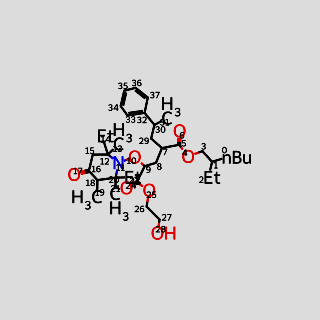 CCCCC(CC)COC(=O)C(CC(ON1C(C)(CC)CC(=O)C(C)C1(C)CC)C(=O)OCCO)CC(C)c1ccccc1